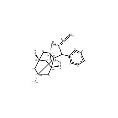 [N-]=[N+]=NC(c1cccnc1)[C@H]1[C@H]2C[C@@H]3C[C@](Cl)(C2)C[C@@]1(O)C3